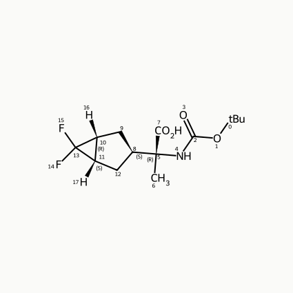 CC(C)(C)OC(=O)N[C@@](C)(C(=O)O)[C@@H]1C[C@@H]2[C@H](C1)C2(F)F